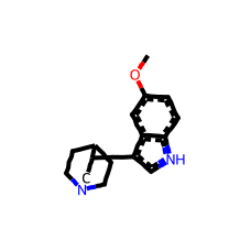 COc1ccc2[nH]cc(C3CN4CCC3CC4)c2c1